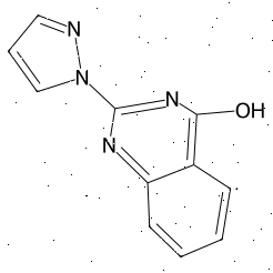 Oc1nc(-n2cccn2)nc2ccc[c]c12